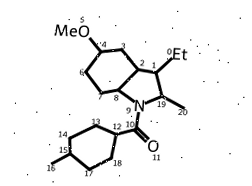 CCC1C2CC(OC)CCC2N(C(=O)C2CCC(C)CC2)C1C